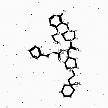 CCOc1cccc(F)c1CN1CCN(C(=O)[C@H](NC(=O)OCc2ccccc2)C2CCN(CCC3(C)CCCCC3)CC2)CC1